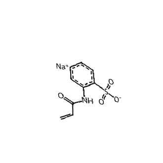 C=CC(=O)Nc1ccccc1S(=O)(=O)[O-].[Na+]